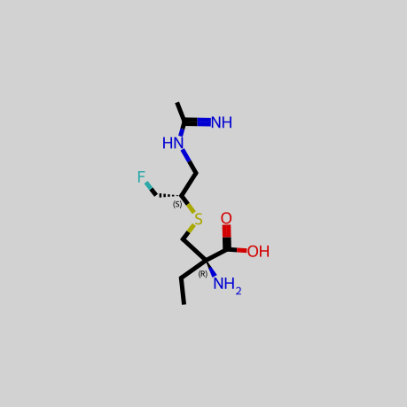 CC[C@](N)(CS[C@H](CF)CNC(C)=N)C(=O)O